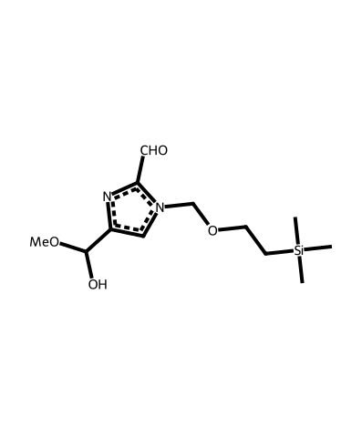 COC(O)c1cn(COCC[Si](C)(C)C)c(C=O)n1